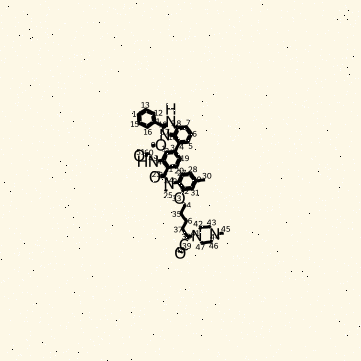 COc1c(-c2cccc3[nH]c(-c4ccccc4)nc23)ccc(C(=O)N(C)c2ccc(C)cc2OCCCCC(=C=O)N2CCN(C)CC2)c1NC=O